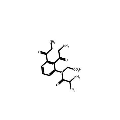 CC(N)C(=O)N(CC(=O)O)c1cccc(C(=O)CN)c1C(=O)CN